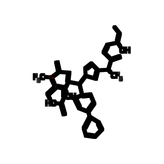 C=C(O)/C=C\C(=C/C)C(C(=C)/C=C(\C(O)=C/C)C(c1ccc(-c2ccccc2)cc1)C1C=CC(C(C(=C)/C=C\C(O)=C/C)C(F)(F)F)=C1)C(F)(F)F